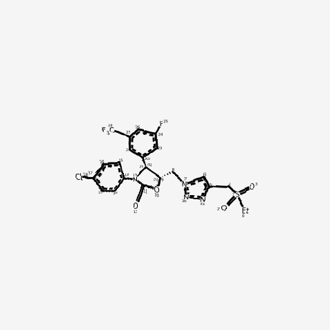 CCS(=O)(=O)Cc1cn(C[C@@H]2OC(=O)N(c3ccc(Cl)cc3)[C@H]2c2cc(F)cc(C(F)(F)F)c2)nn1